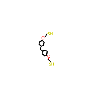 SCCOc1ccc(Cc2ccc(OCCS)cc2)cc1